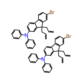 C=CCC1(CC=C)c2cc(Br)ccc2-c2ccc(N(c3ccccc3)c3ccccc3)cc21.C=CCC1(CC=C)c2cc(Br)ccc2-c2ccc(N(c3ccccc3)c3ccccc3)cc21